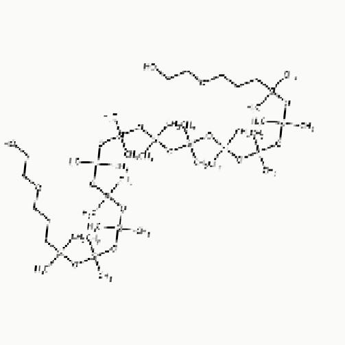 C[Si](C)(CCCOCCO)O[Si](C)(C)O[Si](C)(C)O[Si](C)(C)O[Si](C)(C)O[Si](C)(C)O[Si](C)(C)O[Si](C)(C)O[Si](C)(C)O[Si](C)(C)O[Si](C)(C)O[Si](C)(C)CCCOCCO